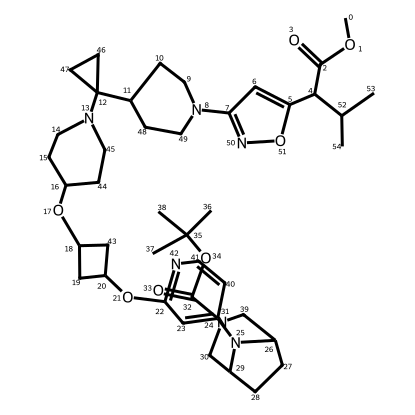 COC(=O)C(c1cc(N2CCC(C3(N4CCC(OC5CC(Oc6cc(N7C8CCC7CN(C(=O)OC(C)(C)C)C8)ccn6)C5)CC4)CC3)CC2)no1)C(C)C